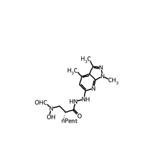 CCCCC[C@H](CN(O)C=O)C(=O)NNc1cc(C)c2c(C)nn(C)c2n1